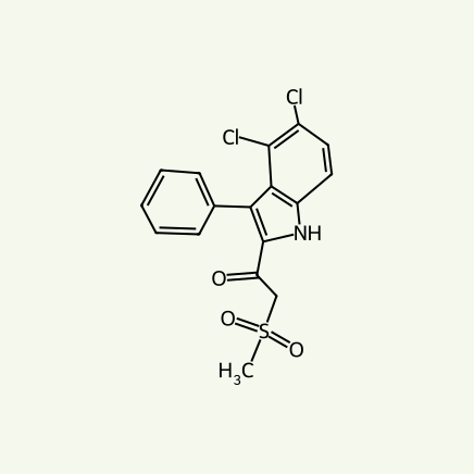 CS(=O)(=O)CC(=O)c1[nH]c2ccc(Cl)c(Cl)c2c1-c1ccccc1